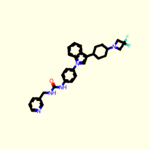 O=C(NCc1cccnc1)Nc1ccc(-n2cc(C3CCC(N4CC(F)(F)C4)CC3)c3ccccc32)cc1